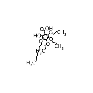 CCCCCCCCOc1c(O)c(C(=O)O)c(OCCC)c(OCCC)c1OCCC